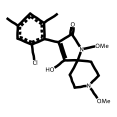 CON1CCC2(CC1)C(O)=C(c1c(C)cc(C)cc1Cl)C(=O)N2OC